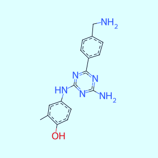 Cc1cc(Nc2nc(N)nc(-c3ccc(CN)cc3)n2)ccc1O